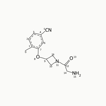 Cc1ccc(C#N)cc1OC1CN(C(=O)CN)C1